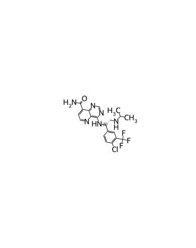 CC(C)NC[C@@H](Nc1ncnc2c(C(N)=O)ccnc12)c1ccc(Cl)c(C(F)(F)F)c1